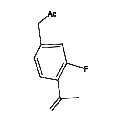 C=C(C)c1ccc(CC(C)=O)cc1F